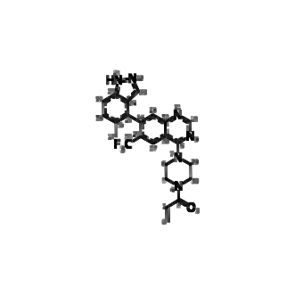 C=CC(=O)N1CCN(c2ncnc3cc(-c4c(C)ccc5[nH]ncc45)c(C(F)(F)F)cc23)CC1